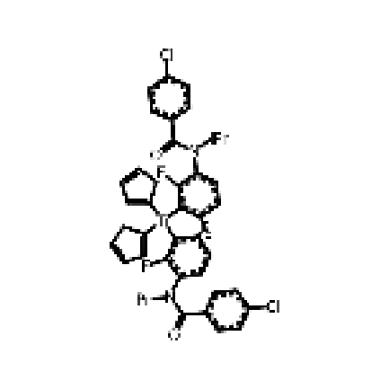 CC(C)N(C(=O)c1ccc(Cl)cc1)c1ccc(F)[c]([Ti]([C]2=CC=CC2)([C]2=CC=CC2)[c]2c(F)ccc(N(C(=O)c3ccc(Cl)cc3)C(C)C)c2F)c1F